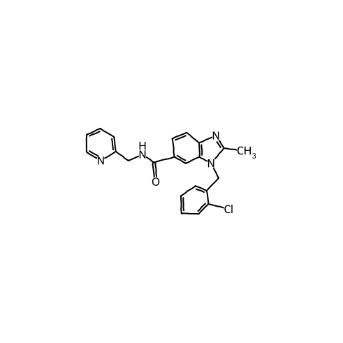 Cc1nc2ccc(C(=O)NCc3ccccn3)cc2n1Cc1ccccc1Cl